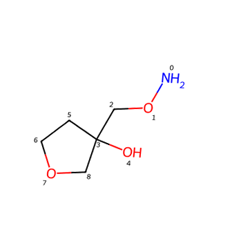 NOCC1(O)CCOC1